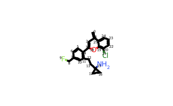 C=C1C=C(c2ccc(CF)cc2CCC2(N)CC2)Oc2c(Cl)cccc21